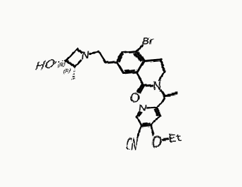 [C-]#[N+]c1cnc(C(C)N2CCc3c(Br)cc(CCN4C[C@@H](O)[C@H]4C)cc3C2=O)cc1OCC